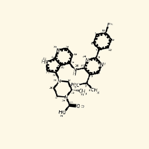 CC(C)c1cnc(-c2ccc(F)cc2)nc1Nc1ccnc2[nH]cc(N3CCN(C(=O)O)[C@@H](C)C3)c12